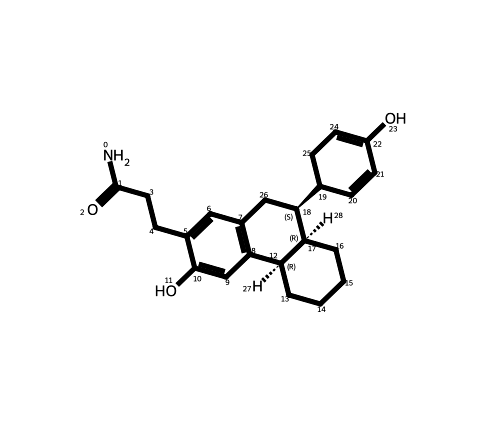 NC(=O)CCc1cc2c(cc1O)[C@@H]1CCCC[C@@H]1[C@H](C1C=CC(O)=CC1)C2